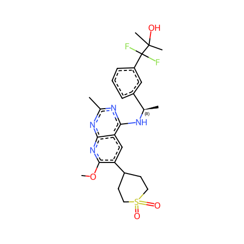 COc1nc2nc(C)nc(N[C@H](C)c3cccc(C(F)(F)C(C)(C)O)c3)c2cc1C1CCS(=O)(=O)CC1